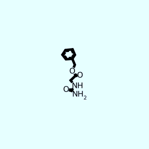 NC(=O)NCC(=O)OCc1ccccc1